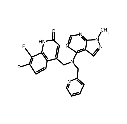 Cn1ncc2c(N(Cc3ccccn3)Cc3cc(=O)[nH]c4c(F)c(F)ccc34)ncnc21